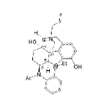 C=CCN1CC[C@]23c4c5ccc(O)c4O[C@H]2[C@@H](N(C(C)=O)c2ccccc2OCC)CC[C@@]3(O)[C@H]1C5